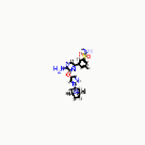 CNS(=O)(=O)c1cc(C)cc(-c2cnc(N)c(Oc3cnn(C4C[C@H]5CC[C@@H](C4)N5C)c3)n2)c1